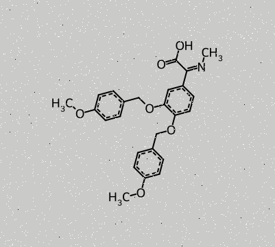 C/N=C(\C(=O)O)c1ccc(OCc2ccc(OC)cc2)c(OCc2ccc(OC)cc2)c1